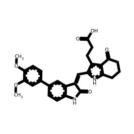 COc1ccc(-c2ccc3c(c2)C(=Cc2[nH]c4c(c2CCC(=O)O)C(=O)CCC4)C(=O)N3)cc1OC